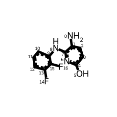 Nc1ccc(O)nc1Nc1cccc(F)c1F